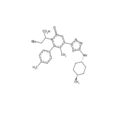 Cc1ccc(-c2c(C)c(-c3nnc(N[C@H]4CC[C@H](C)CC4)o3)cc(=O)n2C(CC(C)(C)C)C(=O)O)cc1